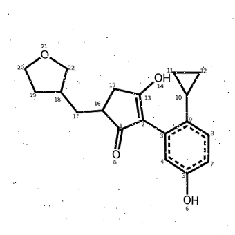 O=C1C(c2cc(O)ccc2C2CC2)=C(O)CC1CC1CCOC1